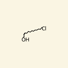 OCC/C=C\CCCCCCCCCCCl